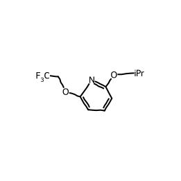 CC(C)Oc1cccc(OCC(F)(F)F)n1